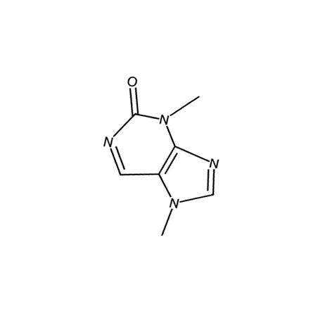 Cn1cnc2c1cnc(=O)n2C